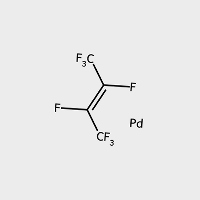 FC(=C(F)C(F)(F)F)C(F)(F)F.[Pd]